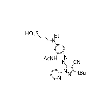 CCN(CCCS(=O)(=O)O)c1ccc(/N=N/c2c(C#N)c(C(C)(C)C)nn2-c2ccccn2)c(NC(C)=O)c1